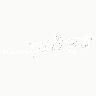 Cc1cc(Oc2nccn3c(-c4cn(CC(O)O)nc4C(F)(F)F)cnc23)ccc1C(=O)OCCOCCO